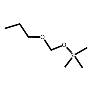 CCCOCO[Si](C)(C)C